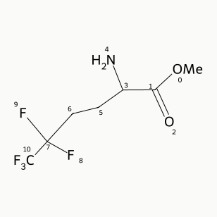 COC(=O)C(N)CCC(F)(F)C(F)(F)F